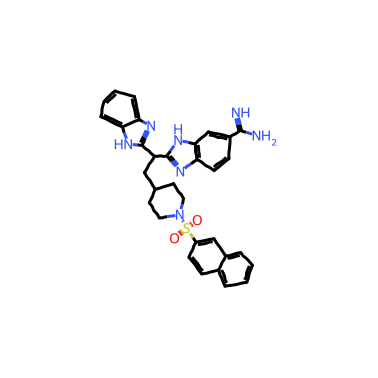 N=C(N)c1ccc2nc(C(CC3CCN(S(=O)(=O)c4ccc5ccccc5c4)CC3)c3nc4ccccc4[nH]3)[nH]c2c1